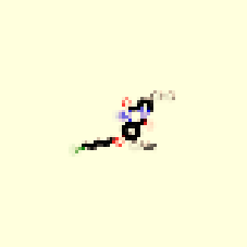 COc1cc2c(cc1OCCCCCBr)NC(=O)C1CC(C=O)=CN1C2=O